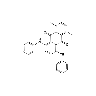 Cc1ccc(C)c2c1C(=O)c1c(Nc3ccccc3)ccc(Nc3ccccc3)c1C2=O